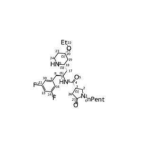 CCCCCN1C[C@@H](C(=O)N[C@@H](Cc2cc(F)cc(F)c2)C[C@H]2C[C@@H](OCC)CCN2)CC1=O